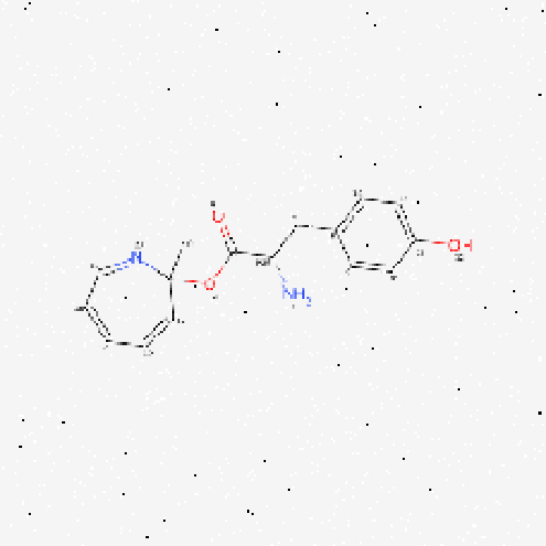 CC1(OC(=O)[C@@H](N)Cc2ccc(O)cc2)C=CC=CC=N1